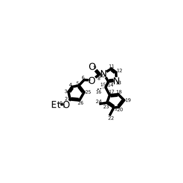 CCOc1ccc(COC(=O)n2ccnc2[C@@H](C)c2cccc(C)c2C)cc1